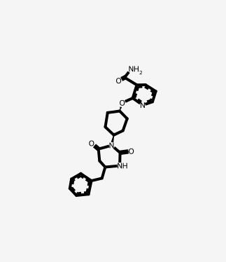 NC(=O)c1cccnc1O[C@H]1CC[C@H](N2C(=O)CC(Cc3ccccc3)NC2=O)CC1